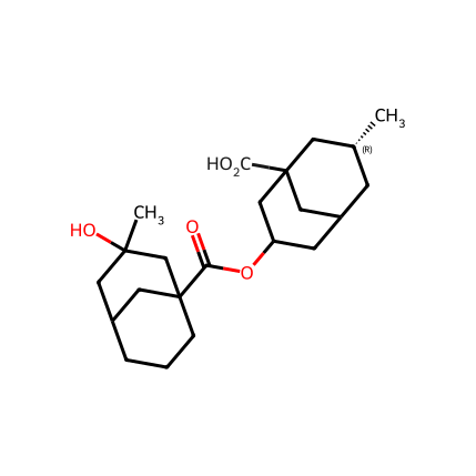 C[C@@H]1CC2CC(OC(=O)C34CCCC(CC(C)(O)C3)C4)CC(C(=O)O)(C2)C1